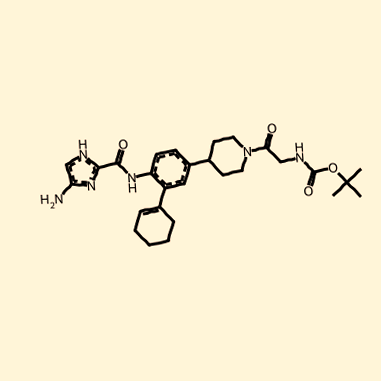 CC(C)(C)OC(=O)NCC(=O)N1CCC(c2ccc(NC(=O)c3nc(N)c[nH]3)c(C3=CCCCC3)c2)CC1